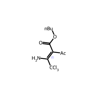 CCCCOC(=O)/C(C(C)=O)=C(\N)C(Cl)(Cl)Cl